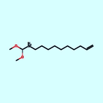 C=CCCCCCCCC[SiH2]C(OC)OC